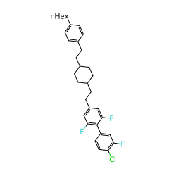 CCCCCCc1ccc(CCC2CCC(CCc3cc(F)c(-c4ccc(Cl)c(F)c4)c(F)c3)CC2)cc1